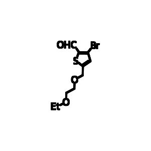 CCOCCOCc1cc(Br)c(C=O)s1